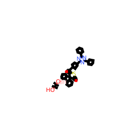 CC(C)(O)C(C)(C)OBc1cccc2c1-c1ccccc1C21c2ccccc2Sc2c(-c3ccc(-c4nc(-c5ccccc5)nc(-c5ccccc5)n4)cc3)cccc21